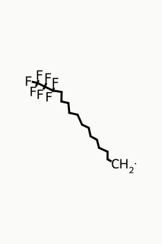 [CH2]CCCCCCCCCCCCC(F)(F)C(F)(F)C(F)(F)F